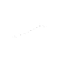 CCCCCCCCCC(=O)OCCCCCCCCCOC(=O)CCCCCCCCC